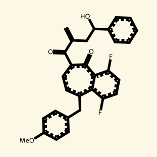 C=C(CC(O)c1ccccc1)C(=O)c1ccc(Cc2ccc(OC)cc2)c2c(F)ccc(F)c2c1=O